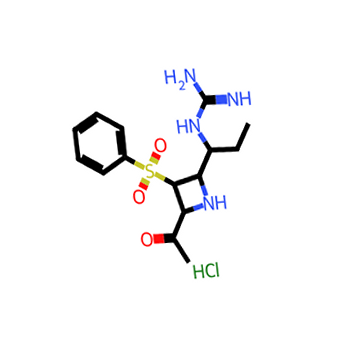 CCC(NC(=N)N)C1NC(C(C)=O)C1S(=O)(=O)c1ccccc1.Cl